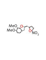 COc1ccc2c(c1OC)OC(=Cc1ccc([N+](=O)[O-])o1)C2